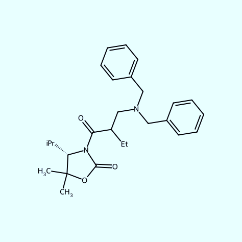 CCC(CN(Cc1ccccc1)Cc1ccccc1)C(=O)N1C(=O)OC(C)(C)[C@@H]1C(C)C